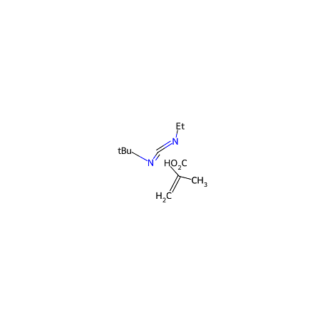 C=C(C)C(=O)O.CCN=C=NC(C)(C)C